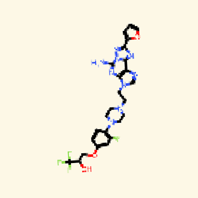 Nc1nc2c(ncn2CCN2CCN(c3ccc(OCC(O)C(F)(F)F)cc3F)CC2)c2nc(-c3ccco3)nn12